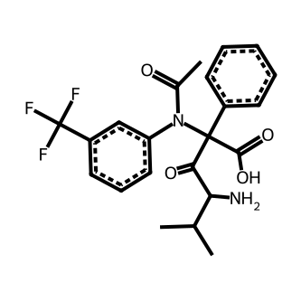 CC(=O)N(c1cccc(C(F)(F)F)c1)C(C(=O)O)(C(=O)C(N)C(C)C)c1ccccc1